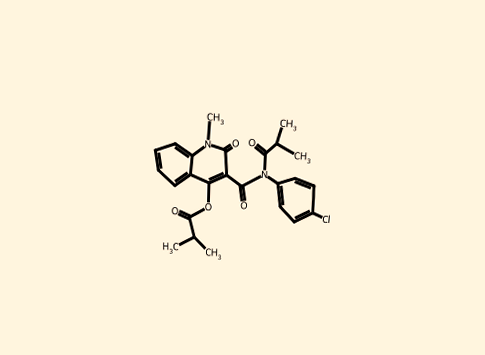 CC(C)C(=O)Oc1c(C(=O)N(C(=O)C(C)C)c2ccc(Cl)cc2)c(=O)n(C)c2ccccc12